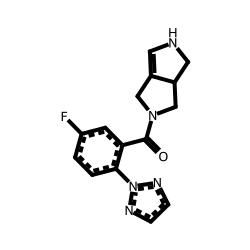 O=C(c1cc(F)ccc1-n1nccn1)N1CC2=CNCC2C1